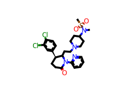 CN(C1CCN(CCC2[C@H](c3ccc(Cl)c(Cl)c3)CCC(=O)N2c2ccccn2)CC1)S(C)(=O)=O